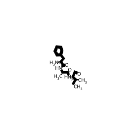 CC[C@H](C)[C@@H]([C]=O)NC(=O)[C@H](C)NC(=O)[C@@H](N)Cc1ccccc1